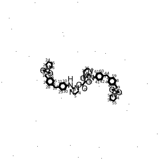 O=C(ON1CCN=C1Nc1ccc(Cc2ccc(CS(=O)(=O)N3CCCC3)cc2)cc1)C(=O)ON1CCN=C1Nc1ccc(Cc2ccc(CS(=O)(=O)N3CCCC3)cc2)cc1